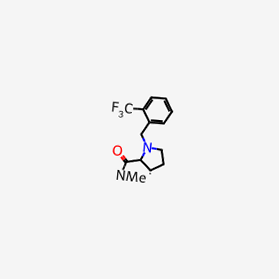 CNC(=O)C1[CH]CCN1Cc1ccccc1C(F)(F)F